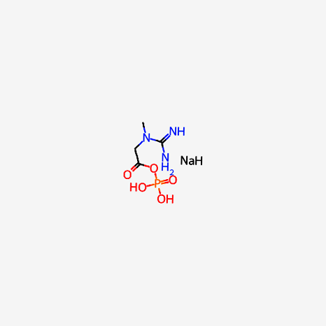 CN(CC(=O)OP(=O)(O)O)C(=N)N.[NaH]